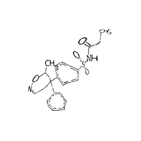 CCC(=O)NS(=O)(=O)c1ccc(C2(c3ccccc3)C=NOC2C)cc1